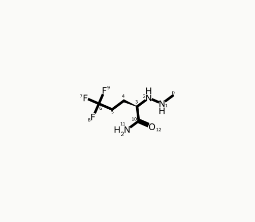 CNN[C@H](CCC(F)(F)F)C(N)=O